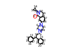 O=C1c2cc(N3CCN(CCC(c4ccccc4)c4ccccc4)CC3)ccc2CCN1C1CC1